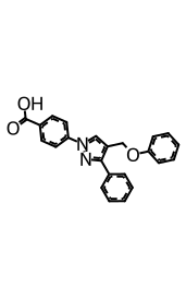 O=C(O)c1ccc(-n2cc(COc3ccccc3)c(-c3ccccc3)n2)cc1